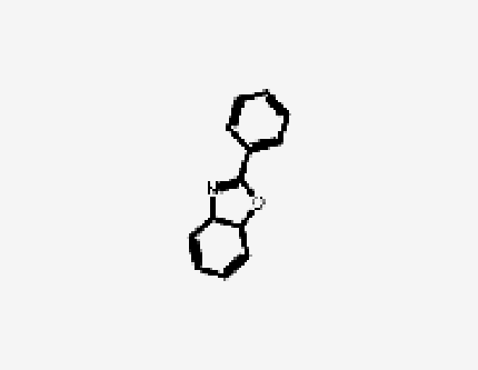 C1=CC2N=C(c3ccccc3)OC2C=C1